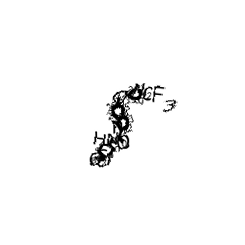 O=C(NC1CCS(=O)(=O)CC1)c1ccc2cc(Oc3ccc(C(F)(F)F)nc3)ccc2n1